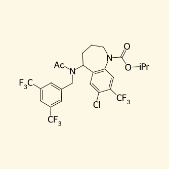 CC(=O)N(Cc1cc(C(F)(F)F)cc(C(F)(F)F)c1)C1CCCN(C(=O)OC(C)C)c2cc(C(F)(F)F)c(Cl)cc21